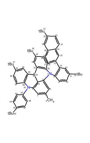 Cc1cc2c3c(c1)N(c1ccc(C(C)(C)C)cc1-c1ccc4cc(C(C)(C)C)ccc4c1)c1ccc(C(C)(C)C)cc1B3c1cc(C(C)(C)C)ccc1N2c1ccc(C(C)(C)C)cc1